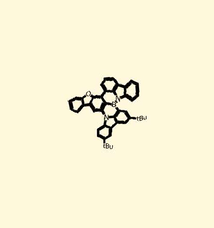 CC(C)(C)c1ccc2c(c1)c1cc(C(C)(C)C)cc3c1n2-c1cc2c(oc4ccccc42)c2c1B3n1c3ccccc3c3cccc-2c31